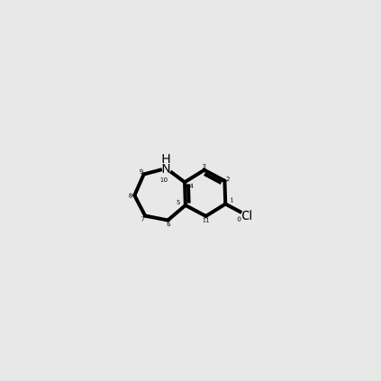 ClC1C=CC2=C(CCCCN2)C1